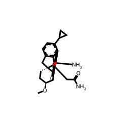 CO[C@H]1CC[C@]2(CC1)Cc1ccc(C3CC3)cc1C21N=C(N)N(CC(N)=O)C1=O